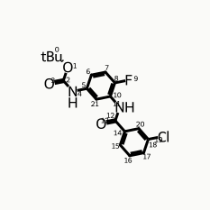 CC(C)(C)OC(=O)Nc1ccc(F)c(NC(=O)c2cccc(Cl)c2)c1